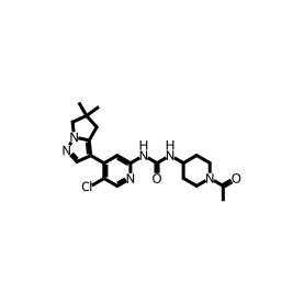 CC(=O)N1CCC(NC(=O)Nc2cc(-c3cnn4c3CC(C)(C)C4)c(Cl)cn2)CC1